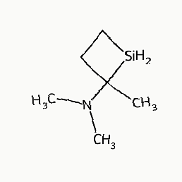 CN(C)C1(C)CC[SiH2]1